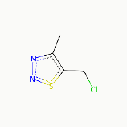 Cc1nnsc1CCl